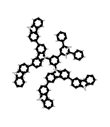 c1ccc(-c2cc(-c3cc(-n4c5ccc(-c6ccc7oc8ccccc8c7c6)cc5c5cc(-c6ccc7oc8ccccc8c7c6)ccc54)cc(-n4c5ccc(-c6ccc7oc8ccccc8c7c6)cc5c5cc(-c6ccc7oc8ccccc8c7c6)ccc54)c3)nc(-c3ccccc3)n2)cc1